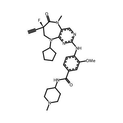 C#C[C@@]1(F)CN(C2CCCC2)c2nc(Nc3ccc(C(=O)NC4CCN(C)CC4)cc3OC)ncc2N(C)C1=O